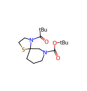 CC(C)(C)OC(=O)N1CCCC2(C1)SCCN2C(=O)C(C)(C)C